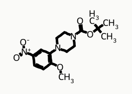 COc1ccc([N+](=O)[O-])cc1N1CCN(C(=O)OC(C)(C)C)CC1